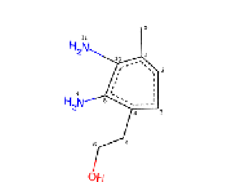 Cc1ccc(CCO)c(N)c1N